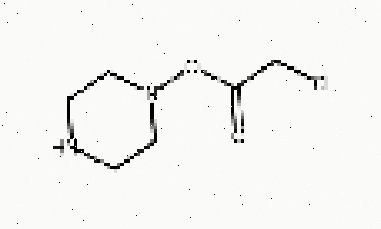 O=C(CCl)ON1CCNCC1